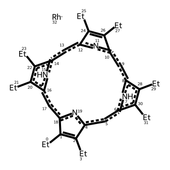 CCC1=C(CC)c2cc3[nH]c(cc4nc(cc5[nH]c(cc1n2)c(CC)c5CC)C(CC)=C4CC)c(CC)c3CC.[Rh]